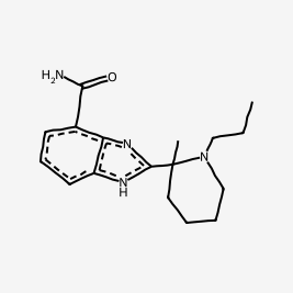 CCCN1CCCCC1(C)c1nc2c(C(N)=O)cccc2[nH]1